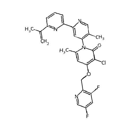 C=C(C)c1cccc(-c2cc(-n3c(C)cc(OCc4ncc(F)cc4F)c(Cl)c3=O)c(C)cn2)n1